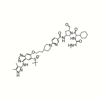 CN[C@@H](C)C(=O)NC(C(=O)N1CC(NC(=O)c2ccc(N3CCC(CCCOc4cc5ncnc(Nc6n[nH]c(C)c6C)c5cc4[S+]([O-])C(C)(C)C)CC3)nc2)CC1C=O)C1CCCCC1